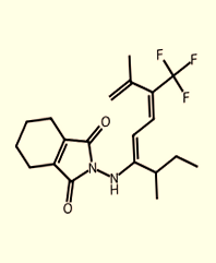 C=C(C)/C(=C\C=C(\NN1C(=O)C2=C(CCCC2)C1=O)C(C)CC)C(F)(F)F